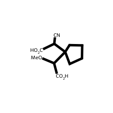 COC(C(=O)O)C1(C(C#N)C(=O)O)CCCC1